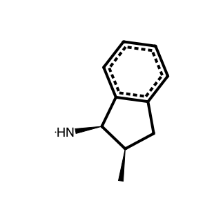 C[C@@H]1Cc2ccccc2[C@@H]1[NH]